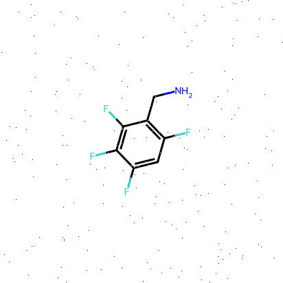 NCc1c(F)cc(F)c(F)c1F